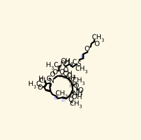 COc1cc2cc(c1Cl)N(C)C(=O)C[C@H](OC(=O)[C@H](C)N(C)C(=O)CCC(C)(C)SC/C=C/COCCC(C)=O)[C@]1(C)O[C@H]1[C@H](C)[C@@H]1C[C@@](O)(NC(=O)O1)[C@H](OC)/C=C/C=C(\C)C2